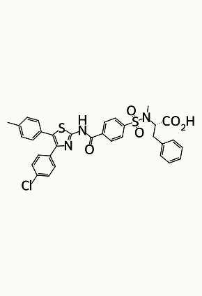 Cc1ccc(-c2sc(NC(=O)c3ccc(S(=O)(=O)N(C)[C@@H](Cc4ccccc4)C(=O)O)cc3)nc2-c2ccc(Cl)cc2)cc1